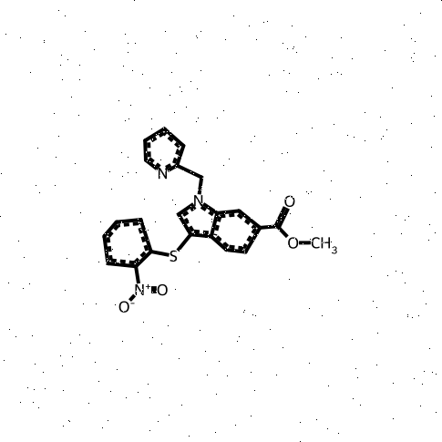 COC(=O)c1ccc2c(Sc3ccccc3[N+](=O)[O-])cn(Cc3ccccn3)c2c1